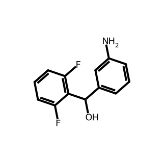 Nc1cccc(C(O)c2c(F)cccc2F)c1